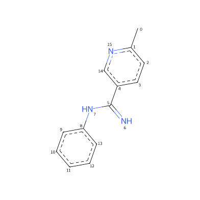 Cc1ccc(C(=N)Nc2ccccc2)cn1